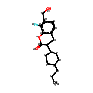 CCCC1CCC(C2Cc3ccc(CO)c(F)c3OC2=O)CC1